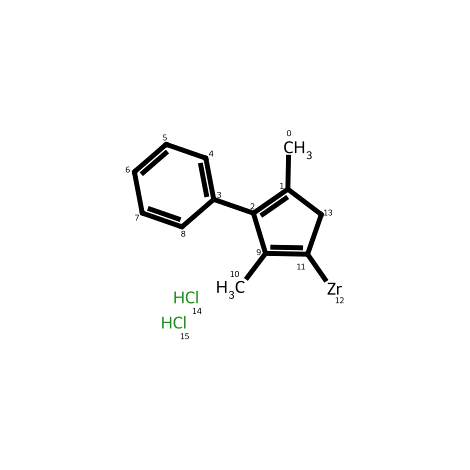 CC1=C(c2ccccc2)C(C)=[C]([Zr])C1.Cl.Cl